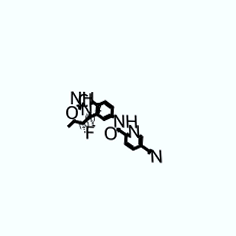 CC1OC(N)=N[C@@](CF)(c2cc(NC(=O)c3ccc(C#N)cn3)ccc2Cl)[C@@H]1C